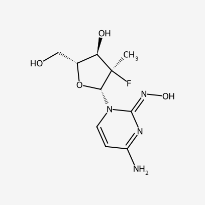 C[C@@]1(F)[C@H](O)[C@@H](CO)O[C@H]1n1ccc(N)n/c1=N\O